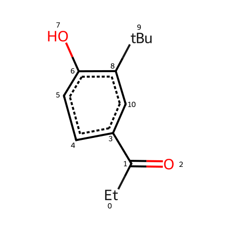 CCC(=O)c1ccc(O)c(C(C)(C)C)c1